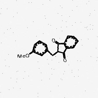 COc1cccc(CC2C(=O)c3ccccc3C2=O)c1